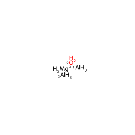 O.[AlH3].[AlH3].[MgH2]